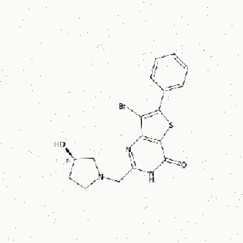 O=c1[nH]c(CN2CC[C@@H](O)C2)nc2c(Br)c(-c3ccccc3)sc12